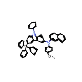 Cc1ccc(N(c2ccc3ccccc3c2)c2ccc3c(c2)c2cc([Si](c4ccccc4)(c4ccccc4)c4ccccc4)ccc2n3-c2ccccc2)cc1